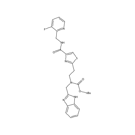 CCCCOC(=O)N(CCc1nc(C(=O)NCc2ncccc2F)cs1)Cc1nc2ccccc2[nH]1